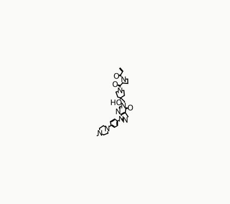 C=CC(=O)N1CCC1C(=O)N1CCC(O)(Cn2cnc3c(cnn3-c3ccc(N4CCN(C)CC4)cc3)c2=O)CC1